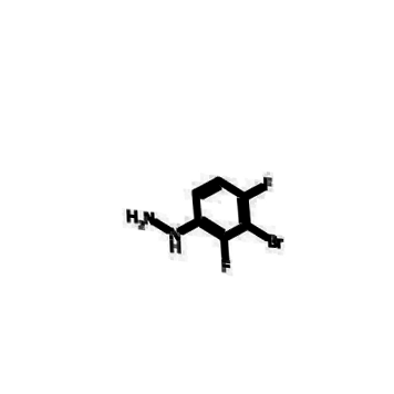 NNc1ccc(F)c(Br)c1F